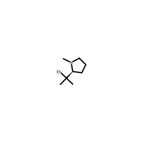 CCC(C)(C)[C@@H]1CCCN1C